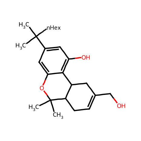 CCCCCCC(C)(C)c1cc(O)c2c(c1)OC(C)(C)C1CC=C(CO)CC21